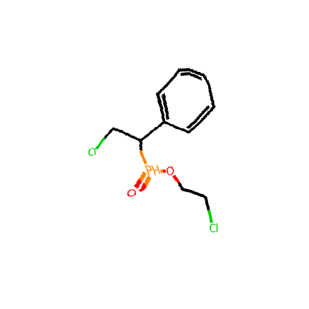 O=[PH](OCCCl)C(CCl)c1ccccc1